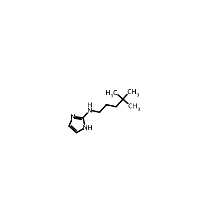 CC(C)(C)CCCNc1ncc[nH]1